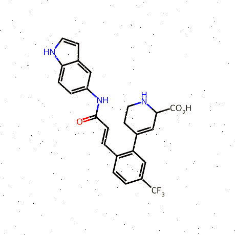 O=C(/C=C/c1ccc(C(F)(F)F)cc1C1=CC(C(=O)O)NCC1)Nc1ccc2[nH]ccc2c1